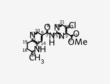 COC(=O)c1nc(NC(=O)c2cnc3c(c2)NC(C)CC3)ncc1Cl